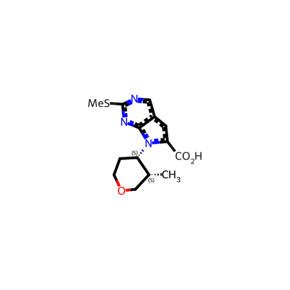 CSc1ncc2cc(C(=O)O)n([C@H]3CCOC[C@H]3C)c2n1